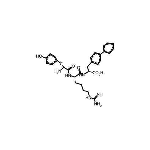 N=C(N)NCCCC[C@H](NC(=O)[C@@H](N)Cc1ccc(O)cc1)C(=O)N[C@@H](Cc1ccc(-c2ccccc2)cc1)C(=O)O